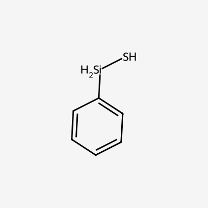 S[SiH2]c1ccccc1